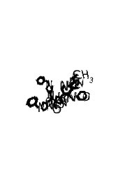 CCn1ncc2c(NC3CCOCC3)c(C3=NOC(C(=O)N4C5CN(Cc6ccccc6)CC54)(C(=O)N4C5CN(Cc6ccccc6)CC54)C3)cnc21